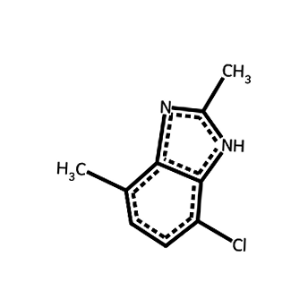 Cc1nc2c(C)ccc(Cl)c2[nH]1